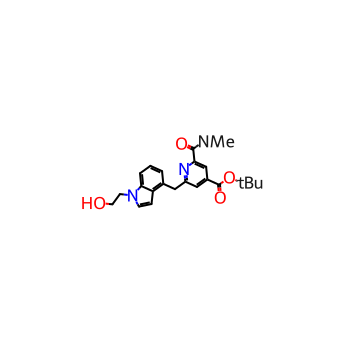 CNC(=O)c1cc(C(=O)OC(C)(C)C)cc(Cc2cccc3c2ccn3CCO)n1